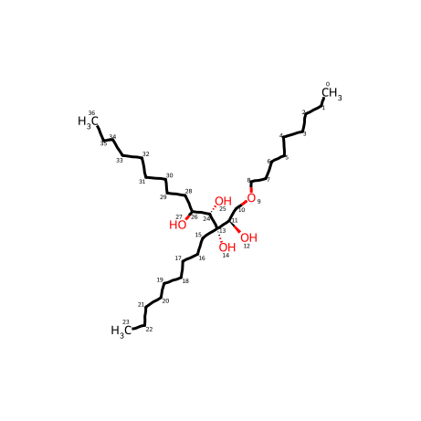 CCCCCCCCCOC[C@@H](O)[C@@](O)(CCCCCCCCC)[C@@H](O)C(O)CCCCCCCCC